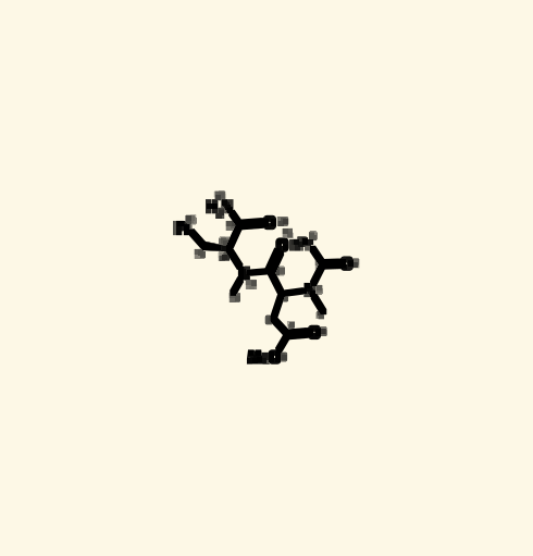 CCCC(=O)N(C)C(CC(=O)OC)C(=O)N(C)[C@@H](CC(C)C)C(N)=O